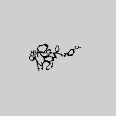 COc1cccc(CNC(=O)c2cc3cc(Cl)c4c(c3o2)C2(CCCCC2)NC(=O)N4)c1